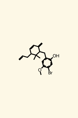 C=CCC1C=CC(=C)C(Cc2cc(OC)c(Br)cc2O)C1(C)C